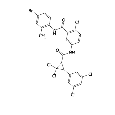 Cc1cc(Br)ccc1NC(=O)c1cc(NC(=O)C2C(c3cc(Cl)cc(Cl)c3)C2(Cl)Cl)ccc1Cl